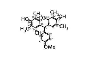 COc1ccc(C(c2cc(C)c(O)c(C)c2C)c2cc(C)c(O)c(C)c2C)cc1